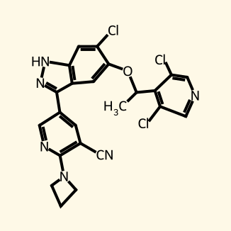 CC(Oc1cc2c(-c3cnc(N4CCC4)c(C#N)c3)n[nH]c2cc1Cl)c1c(Cl)cncc1Cl